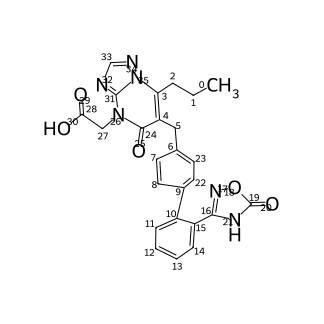 CCCc1c(Cc2ccc(-c3ccccc3-c3noc(=O)[nH]3)cc2)c(=O)n(CC(=O)O)c2ncnn12